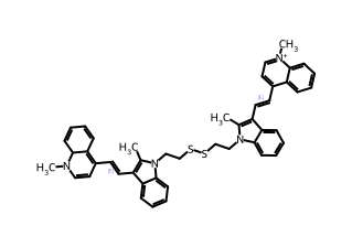 Cc1c(/C=C/C2=C3C=CC=CC3N(C)C=C2)c2ccccc2n1CCSSCCn1c(C)c(/C=C/c2cc[n+](C)c3ccccc23)c2ccccc21